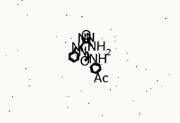 CC(=O)c1ccc(NC(=O)Cn2c(-c3nonc3N)nc3ccccc32)cc1